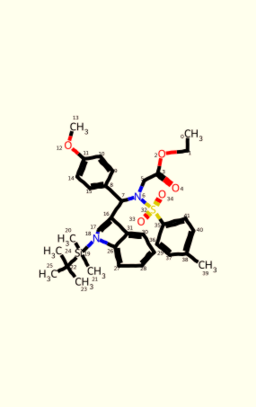 CCOC(=O)CN(C(c1ccc(OC)cc1)c1cn([Si](C)(C)C(C)(C)C)c2ccccc12)S(=O)(=O)c1ccc(C)cc1